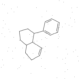 [C]1=CCCC2CCCC(c3ccccc3)C12